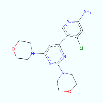 Nc1cc(Cl)c(-c2cc(N3CCOCC3)nc(N3CCOCC3)n2)cn1